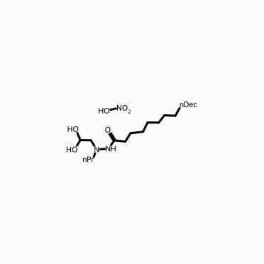 CCCCCCCCCCCCCCCCCC(=O)NN(CCC)CC(O)O.O=[N+]([O-])O